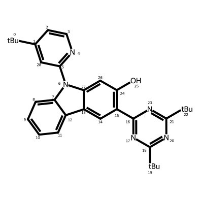 CC(C)(C)c1ccnc(-n2c3ccccc3c3cc(-c4nc(C(C)(C)C)nc(C(C)(C)C)n4)c(O)cc32)c1